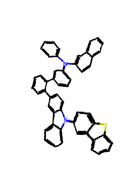 c1ccc(N(c2cccc(-c3ccccc3-c3ccc4c(c3)c3ccccc3n4-c3ccc4sc5ccccc5c4c3)c2)c2ccc3ccccc3c2)cc1